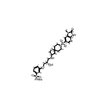 CNS(=O)(=O)c1cccc(OC[C@@H](O)CNC2COC3(CCN(S(=O)(=O)c4cnc5[nH]c(=O)n(C)c5c4)CC3)C2)c1